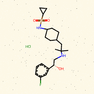 CC(C)(CC1CCC(NS(=O)(=O)C2CC2)CC1)NC[C@H](O)c1cccc(F)c1.Cl